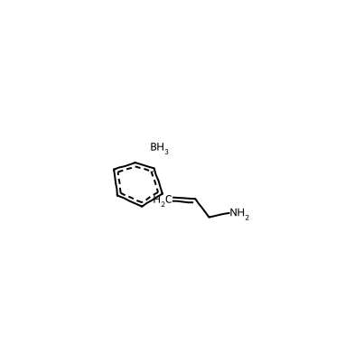 B.C=CCN.c1ccccc1